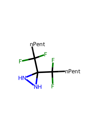 CCCCCC(F)(F)C1(C(F)(F)CCCCC)NN1